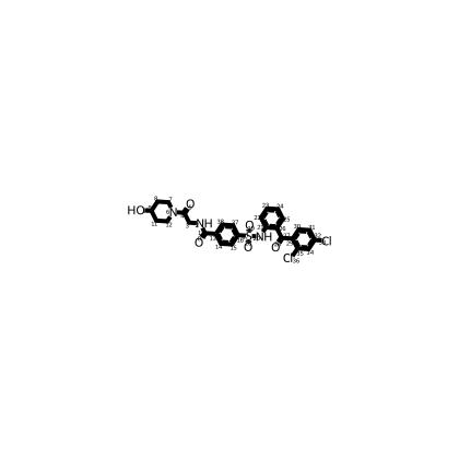 O=C(NCC(=O)N1CCC(O)CC1)c1ccc(S(=O)(=O)Nc2ccccc2C(=O)c2ccc(Cl)cc2Cl)cc1